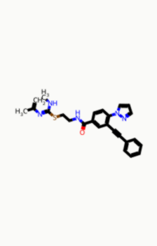 C=C(C)/N=C(\NC)SCCNC(=O)c1ccc(-n2cccn2)c(C#Cc2ccccc2)c1